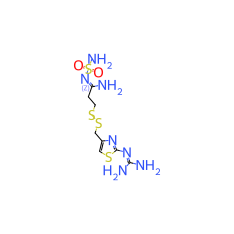 NC(N)=Nc1nc(CSSCC/C(N)=N/S(N)(=O)=O)cs1